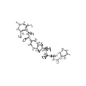 Cc1cc(C)c(NC(=O)c2ccc3nc(NC(=O)NCC(C)c4ccccc4)sc3c2)c(C)c1